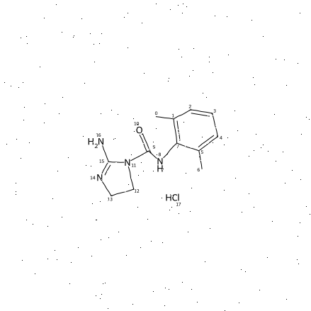 Cc1cccc(C)c1NC(=O)N1CCN=C1N.Cl